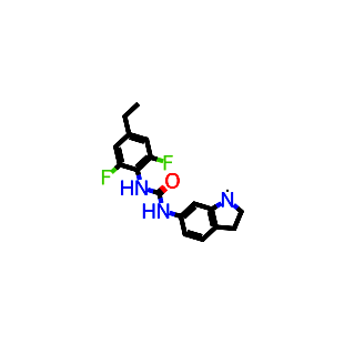 CCc1cc(F)c(NC(=O)Nc2ccc3c(c2)[N]CC3)c(F)c1